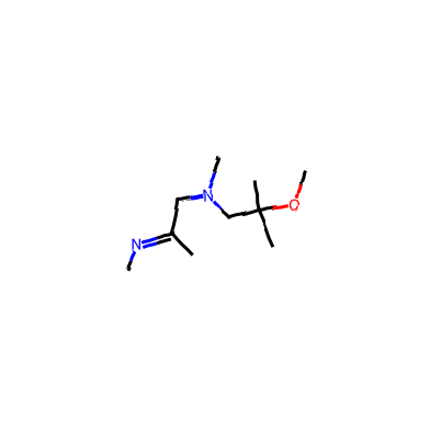 C/N=C(\C)CN(C)CC(C)(C)OC